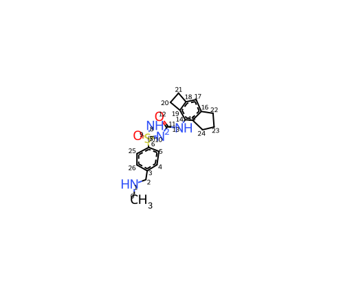 CNCc1ccc([S@@](N)(=O)=NC(=O)Nc2c3c(cc4c2CC4)CCC3)cc1